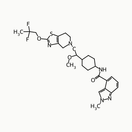 COC(CN1CCc2sc(OCC(C)(F)F)nc2C1)C1CCC(NC(=O)c2cccc3nn(C)cc23)CC1